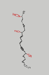 CCC(O)/C=C/C#CCC(O)/C=C/C=C/C#CC(O)CCCC(=O)O